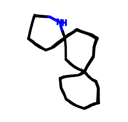 C1CCC2(CC1)CCCC1(CCCN1)C2